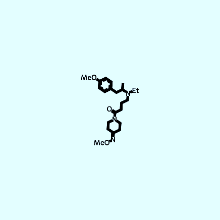 CCN(CCCC(=O)N1CCC(=NOC)CC1)C(C)Cc1ccc(OC)cc1